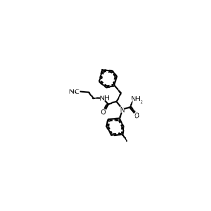 Cc1cccc(N(C(N)=O)C(Cc2ccccc2)C(=O)NCCC#N)c1